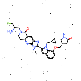 Cn1c(-c2cc3cccc(OC[C@H]4CNC(=O)C4)c3n2CC2CC2)nc2cc3c(nc21)CCN(CC(N)CF)C3=O